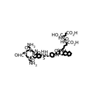 NC(=O)CN1CCN(CC=O)CCN(CC(N)=O)CC(Cc2ccc(NC(=S)NC[C@H]3CC[C@H](C(=O)N[C@@H](Cc4ccc5ccccc5c4)C(=O)NCCCC[C@H](NC(=O)N[C@@H](CCC(=O)O)C(=O)O)C(=O)O)CC3)cc2)N(CC(N)=O)CC1